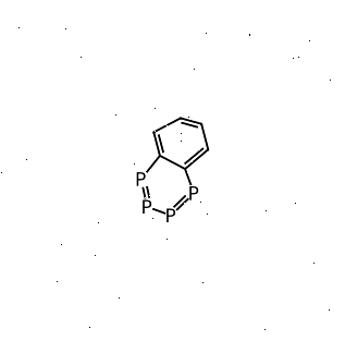 c1ccc2ppppc2c1